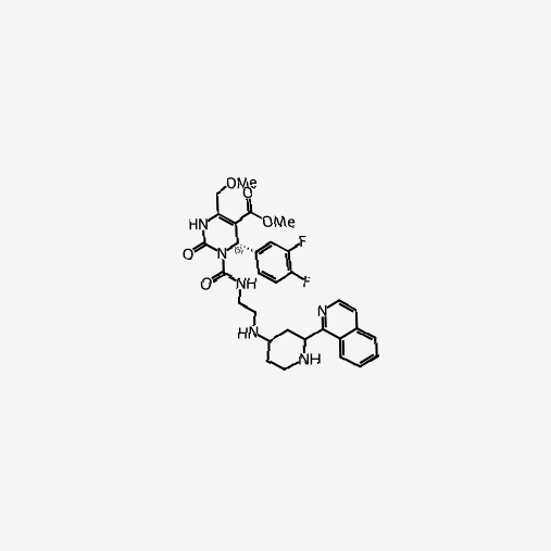 COCC1=C(C(=O)OC)[C@H](c2ccc(F)c(F)c2)N(C(=O)NCCNC2CCNC(c3nccc4ccccc34)C2)C(=O)N1